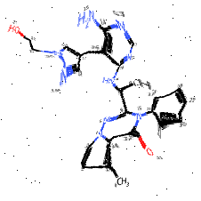 Cc1ccn2nc(C(C)Nc3ncnc(N)c3-c3cnn(CCO)c3)n(-c3ccccc3)c(=O)c12